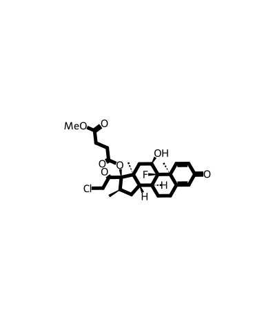 COC(=O)CCC(=O)O[C@]1(C(=O)CCl)[C@H](C)C[C@H]2[C@@H]3CCC4=CC(=O)C=C[C@]4(C)[C@@]3(F)[C@H](O)C[C@@]21C